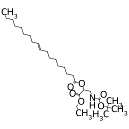 CCCCCCCC/C=C/CCCCCCCC(=O)OC(CNC(=O)OC(C)(C)C)C(=O)OCC